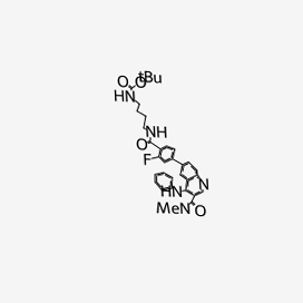 CNC(=O)c1cnc2ccc(-c3ccc(C(=O)NCCCCNC(=O)OC(C)(C)C)c(F)c3)cc2c1Nc1ccccc1